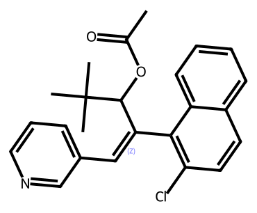 CC(=O)OC(/C(=C\c1cccnc1)c1c(Cl)ccc2ccccc12)C(C)(C)C